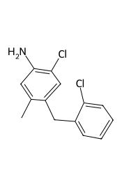 Cc1cc(N)c(Cl)cc1Cc1ccccc1Cl